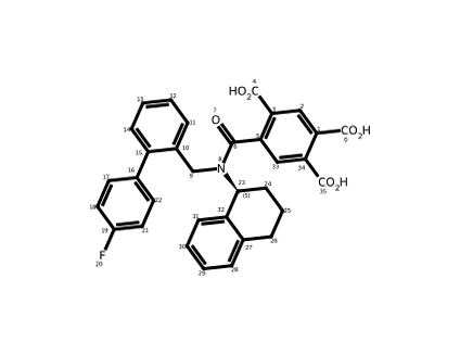 O=C(O)c1cc(C(=O)O)c(C(=O)N(Cc2ccccc2-c2ccc(F)cc2)[C@H]2CCCc3ccccc32)cc1C(=O)O